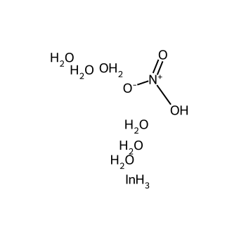 O.O.O.O.O.O.O=[N+]([O-])O.[InH3]